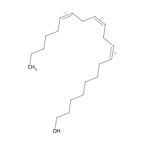 CCCCC/C=C\C/C=C\C/C=C\CCCCCCCO